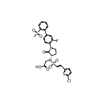 CS(=O)(=O)c1ccccc1-c1ccc(N2CC[C@H](N(CC(=O)O)S(=O)(=O)C=Cc3ccc(Cl)s3)C2=O)c(F)c1